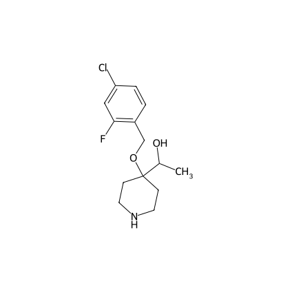 CC(O)C1(OCc2ccc(Cl)cc2F)CCNCC1